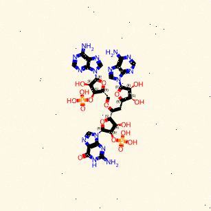 Nc1nc2c(ncn2[C@@H]2O[C@H](C(C[C@H]3O[C@@H](n4cnc5c(N)ncnc54)[C@H](O)[C@@H]3O)OC[C@H]3O[C@@H](n4cnc5c(N)ncnc54)[C@H](O)[C@@H]3OP(=O)(O)O)[C@@H](O)[C@H]2OP(=O)(O)O)c(=O)[nH]1